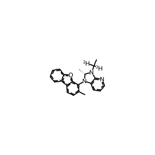 [2H]C([2H])(C)N1c2ncccc2N(c2c(C)ccc3c2oc2ccccc23)[C@@H]1C